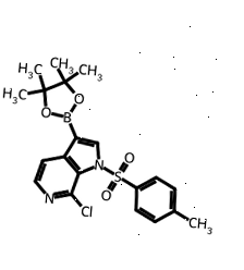 Cc1ccc(S(=O)(=O)n2cc(B3OC(C)(C)C(C)(C)O3)c3ccnc(Cl)c32)cc1